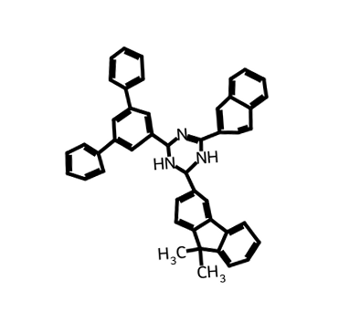 CC1(C)c2ccccc2-c2cc(C3NC(c4ccc5ccccc5c4)=NC(c4cc(-c5ccccc5)cc(-c5ccccc5)c4)N3)ccc21